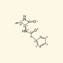 C[C@H]1NC(=O)[C@H]1NC(=O)Cc1ccccc1